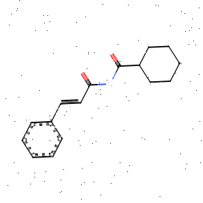 O=C(/C=C/c1ccccc1)NC(=O)C1CCCCC1